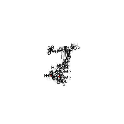 CC[C@H](C)C([C@@H](CC(=O)N1CCC[C@H]1[C@H](OC)[C@@H](C)C(=O)N[C@@H](Cc1cccc(NC(=O)[C@H](CCCNC(N)=O)NC(=O)C(NC(=O)CCOCCN2C(=O)C=CC2=O)C(C)C)c1)c1nccs1)OC)N(C)C(=O)[C@@H](NC(=O)[C@H]1NC2CCC1[C@@H]2C)C(C)C